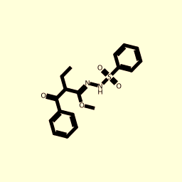 CCC(C(=O)c1ccccc1)C(=NNS(=O)(=O)c1ccccc1)OC